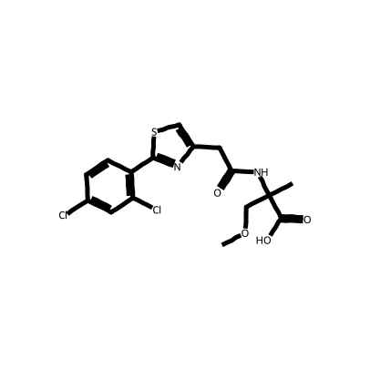 COCC(C)(NC(=O)Cc1csc(-c2ccc(Cl)cc2Cl)n1)C(=O)O